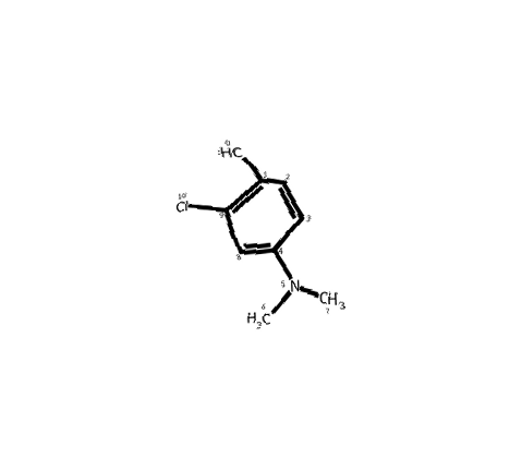 [CH]c1ccc(N(C)C)cc1Cl